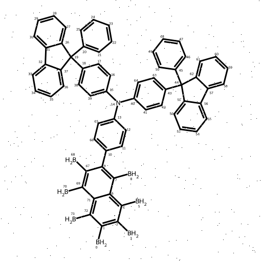 Bc1c(B)c(B)c2c(B)c(-c3ccc(N(c4ccc(C5(c6ccccc6)c6ccccc6-c6ccccc65)cc4)c4ccc(C5(c6ccccc6)c6ccccc6-c6ccccc65)cc4)cc3)c(B)c(B)c2c1B